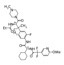 CCC(=O)N[C@@H](C(=O)N1CCN(C)CC1)C(C)(C)c1ccc(NC(=O)[C@@H](NC(=O)C(F)(F)c2ccc(OC)nc2)C2CCCCC2)c(F)c1